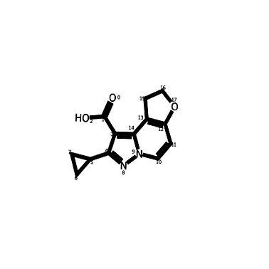 O=C(O)c1c(C2CC2)nn2ccc3c(c12)CCO3